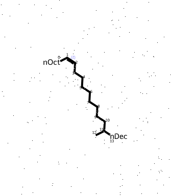 CCCCCCCC/C=C\CCCCCCCCC(C)CCCCCCCCCC